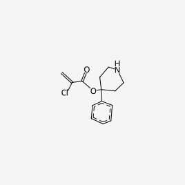 C=C(Cl)C(=O)OC1(c2ccccc2)CCNCC1